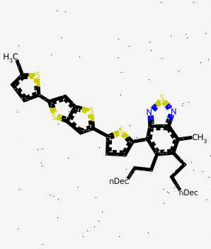 CCCCCCCCCCCCc1c(CCCCCCCCCCCC)c(-c2ccc(-c3cc4sc(-c5ccc(C)s5)cc4s3)s2)c2nsnc2c1C